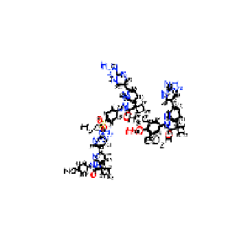 CS(=O)(=O)c1ccc(NC(=O)C2(c3ccc(-c4cnc(N)nc4)nc3)CCC2)cc1.Cc1cc(NC(=O)C2(c3ccc(-c4cnc(N)nc4)cc3)CCC2)cc(C(=O)O)c1O.N#Cc1ccc(NC(=O)C2(c3ccc(-c4cnc(N)nc4)nc3)CCC2)cc1